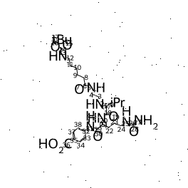 CC(C)[C@H](NCCNC(=O)CCCCCNC(=O)OC(C)(C)C)C(=O)N[C@@H](CCCNC(N)=O)C(=O)Nc1ccc(C(=O)O)cc1